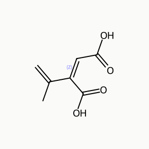 C=C(C)/C(=C/C(=O)O)C(=O)O